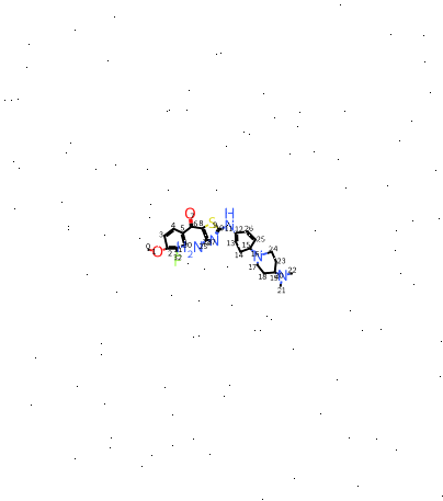 COc1ccc(C(=O)c2sc(NC3=CCC(N4CCC(N(C)C)CC4)C=C3)nc2N)cc1F